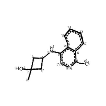 CC1(O)CC(Nc2nnc(Cl)c3ccccc23)C1